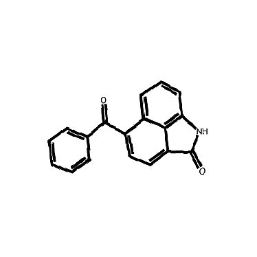 O=C(c1ccccc1)c1ccc2c3c(cccc13)NC2=O